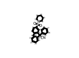 Cc1ccc(S(=O)(=O)N2CCCCC2)cc1C(C#N)(c1ccccc1)c1ccccc1